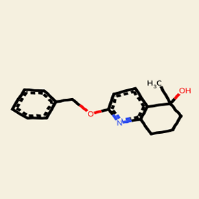 CC1(O)CCCc2nc(OCc3ccccc3)ccc21